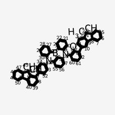 CC1(C)c2ccccc2-c2cc3c(cc21)oc1c(N2c4ccccc4B4c5ccccc5N(c5ccc(-c6cccc7c6C(C)(C)c6ccccc6-7)cc5)c5cccc2c54)cccc13